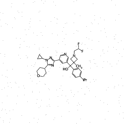 CC(C)c1ccc(C(O)(c2cncc(-c3nc(C4CCOCC4)n(C4CC4)n3)c2)C2(C)CN(CC(F)F)C2)cc1